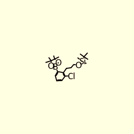 CC1(C)OB(c2cccc(Cl)c2CCCO[Si](C)(C)C(C)(C)C)OC1(C)C